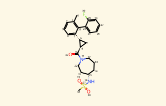 Cc1cccc([C@@H]2C[C@H]2C(=O)N2CCC[C@H](NS(C)(=O)=O)CC2)c1-c1ccccc1F